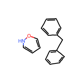 C1=CNOC=C1.c1ccc(Cc2ccccc2)cc1